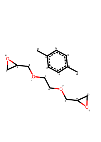 C(COCC1CO1)OCC1CO1.Cc1ccc(C)cc1